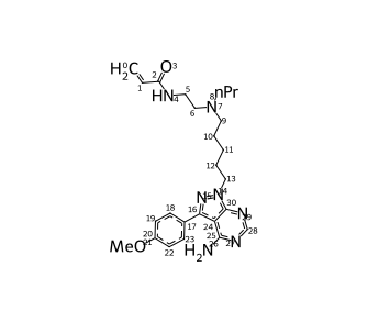 C=CC(=O)NCCN(CCC)CCCCCn1nc(-c2ccc(OC)cc2)c2c(N)ncnc21